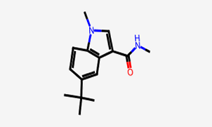 CNC(=O)c1cn(C)c2ccc(C(C)(C)C)cc12